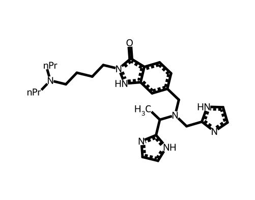 CCCN(CCC)CCCCn1[nH]c2cc(CN(Cc3ncc[nH]3)C(C)c3ncc[nH]3)ccc2c1=O